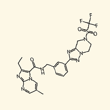 CCc1nc2ncc(C)cn2c1C(=O)NCc1cccc(-c2nc3n(n2)CCN(S(=O)(=O)C(F)(F)F)C3)c1